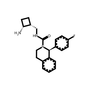 N[C@@H]1CC[C@@H]1CNC(=O)N1CCc2ccccc2[C@@H]1c1ccc(F)cc1